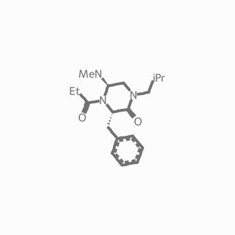 CCC(=O)N1[C@@H](NC)CN(CC(C)C)C(=O)[C@@H]1Cc1ccccc1